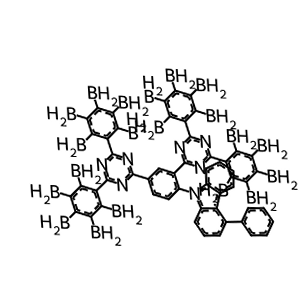 Bc1c(B)c(B)c(-c2nc(-c3ccc(-n4c5ccccc5c5c(-c6ccccc6)cccc54)c(-c4nc(-c5c(B)c(B)c(B)c(B)c5B)nc(-c5c(B)c(B)c(B)c(B)c5B)n4)c3)nc(-c3c(B)c(B)c(B)c(B)c3B)n2)c(B)c1B